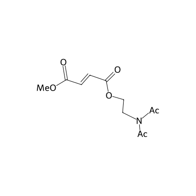 COC(=O)C=CC(=O)OCCN(C(C)=O)C(C)=O